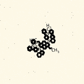 CCCc1cc(N(c2ccc3c4ccccc4n(-c4ccccc4C)c3c2)c2cccc3c2CCCC3)c2ccc3c(CCC)cc(N(c4ccc5c6ccccc6n(-c6ccccc6C)c5c4)C4CCCc5ccccc54)c4ccc1c2c34